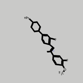 CCCC1CCC(c2ccc(/C=C(\C)c3ccc(OC(F)(F)F)c(F)c3)c(F)c2)CC1